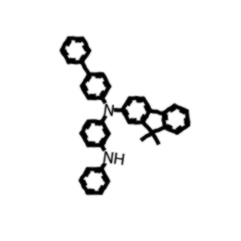 CC1(C)c2ccccc2-c2ccc(N(c3ccc(-c4ccccc4)cc3)c3cccc(Nc4ccccc4)c3)cc21